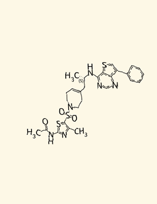 CC(=O)Nc1nc(C)c(S(=O)(=O)N2CCC=C(C[C@H](C)Nc3ncnc4c(-c5ccccc5)csc34)CC2)s1